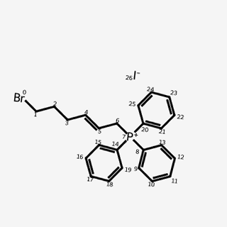 BrCCCC=CC[P+](c1ccccc1)(c1ccccc1)c1ccccc1.[I-]